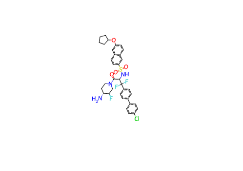 N[C@@H]1CCN(C(=O)C(NS(=O)(=O)c2ccc3cc(OC4CCCC4)ccc3c2)C(F)(F)c2ccc(-c3ccc(Cl)cc3)cc2)C[C@H]1F